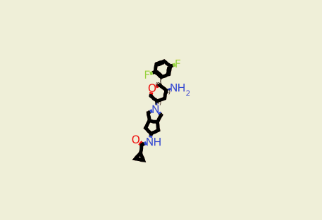 N[C@H]1C[C@@H](N2CC3CC(NC(=O)C4CC4)CC3C2)CO[C@@H]1c1cc(F)ccc1F